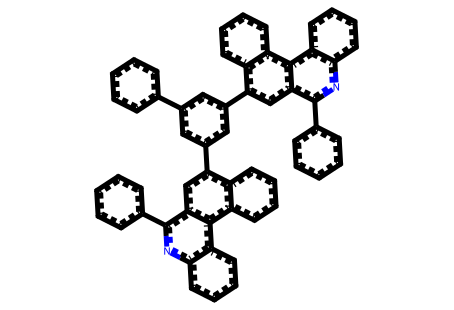 c1ccc(-c2cc(-c3cc4c(-c5ccccc5)nc5ccccc5c4c4ccccc34)cc(-c3cc4c(-c5ccccc5)nc5ccccc5c4c4ccccc34)c2)cc1